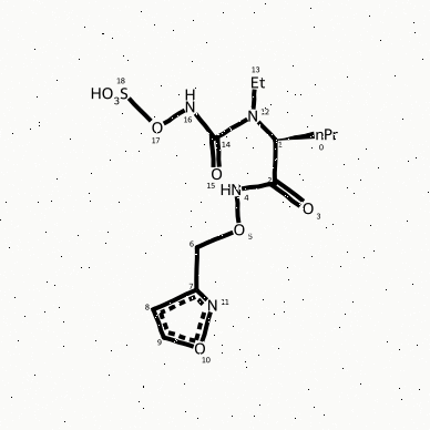 CCC[C@@H](C(=O)NOCc1ccon1)N(CC)C(=O)NOS(=O)(=O)O